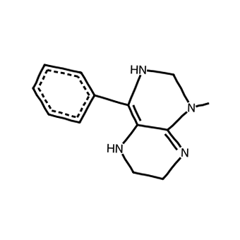 CN1CNC(c2ccccc2)=C2NCCN=C21